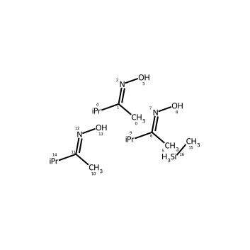 CC(=NO)C(C)C.CC(=NO)C(C)C.CC(=NO)C(C)C.C[SiH3]